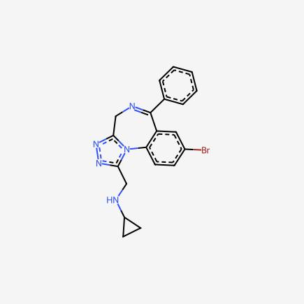 Brc1ccc2c(c1)C(c1ccccc1)=NCc1nnc(CNC3CC3)n1-2